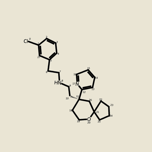 Clc1cccc(CCNCC[C@@]2(c3ccccn3)CCOC3(CCCC3)C2)c1